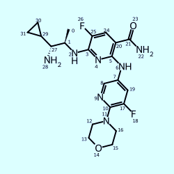 C[C@@H](Nc1nc(Nc2cnc(N3CCOCC3)c(F)c2)c(C(N)=O)cc1F)[C@H](N)C1CC1